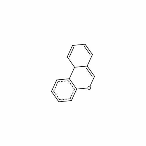 C1=CC2=COc3ccccc3C2C=C1